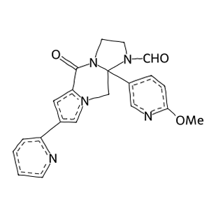 COc1ccc(C23Cn4cc(-c5ccccn5)cc4C(=O)N2CCN3C=O)cn1